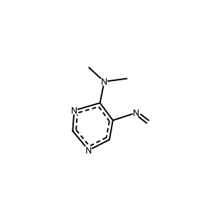 C=Nc1cncnc1N(C)C